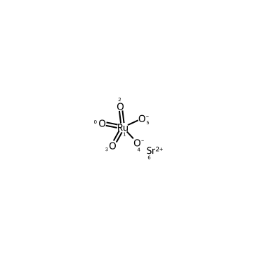 [O]=[Ru](=[O])(=[O])([O-])[O-].[Sr+2]